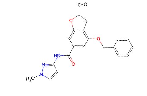 Cn1ccc(NC(=O)c2cc(OCc3ccccc3)c3c(c2)OC(C=O)C3)n1